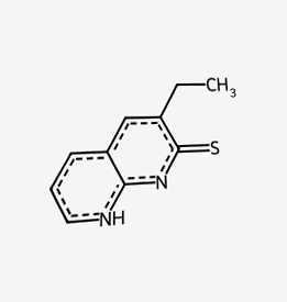 CCc1cc2ccc[nH]c-2nc1=S